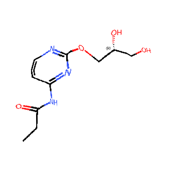 CCC(=O)Nc1ccnc(OC[C@H](O)CO)n1